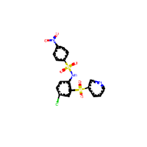 O=[N+]([O-])c1ccc(S(=O)(=O)Nc2ccc(Cl)cc2S(=O)(=O)c2cccnc2)cc1